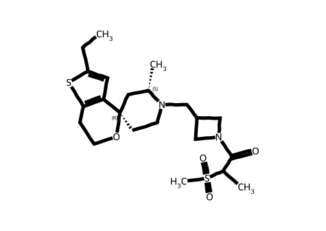 CCc1cc2c(s1)CCO[C@@]21CCN(CC2CN(C(=O)C(C)S(C)(=O)=O)C2)[C@@H](C)C1